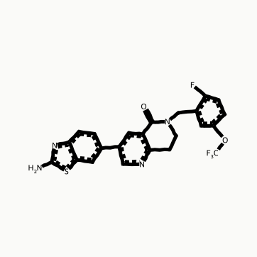 Nc1nc2ccc(-c3cnc4c(c3)C(=O)N(Cc3cc(OC(F)(F)F)ccc3F)CC4)cc2s1